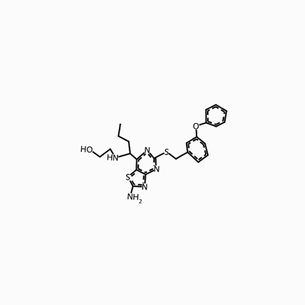 CCCC(NCCO)c1nc(SCc2cccc(Oc3ccccc3)c2)nc2nc(N)sc12